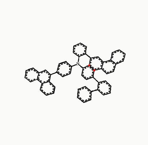 c1ccc(-c2ccccc2-c2ccc(N(c3ccc(-c4cc5ccccc5c5ccccc45)cc3)c3ccccc3-c3ccc4ccc5ccccc5c4c3)cc2)cc1